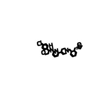 Clc1ccc2c(c1)OCCC2Nc1cccc(C2=CCN(CC3C=CC=CC3C[C@H]3CCO3)CC2)n1